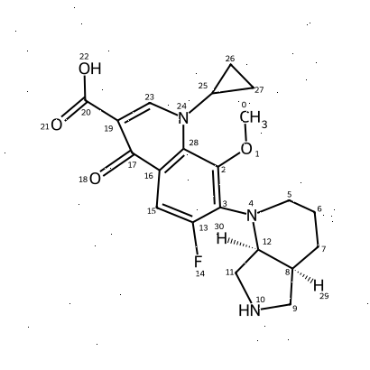 COc1c(N2CCC[C@H]3CNC[C@H]32)c(F)cc2c(=O)c(C(=O)O)cn(C3CC3)c12